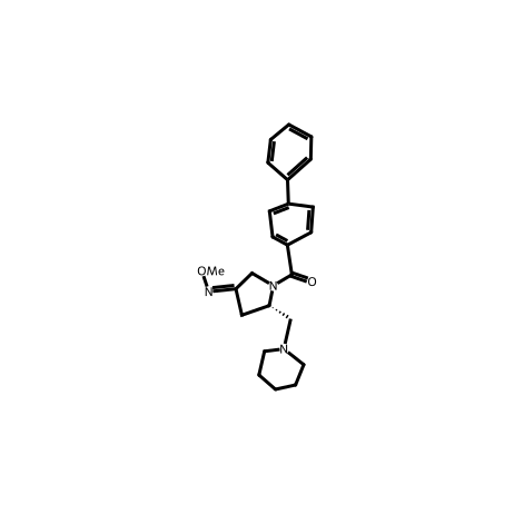 CON=C1C[C@@H](CN2CCCCC2)N(C(=O)c2ccc(-c3ccccc3)cc2)C1